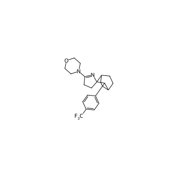 FC(F)(F)c1ccc(C2C3CCC(CC3)C23CCC(N2CCOCC2)=N3)cc1